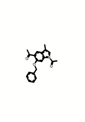 CC(=O)c1cc2c(C)cn(C(C)=O)c2cc1OCc1ccccc1